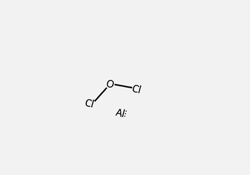 ClOCl.[Al]